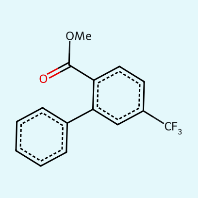 COC(=O)c1ccc(C(F)(F)F)cc1-c1ccccc1